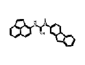 CN(C(=N)Nc1ccc2cccc3c2c1C=C3)c1ccc2c(c1)Cc1ccccc1-2